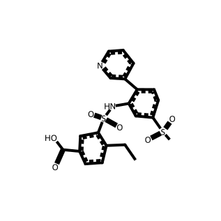 CCc1ccc(C(=O)O)cc1S(=O)(=O)Nc1cc(S(C)(=O)=O)ccc1-c1cccnc1